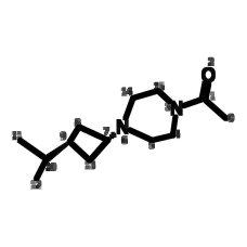 CC(=O)N1CCN([C@H]2C[C@H](C(C)C)C2)CC1